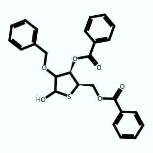 O=C(OC[C@H]1SC(O)C(OCc2ccccc2)[C@H]1OC(=O)c1ccccc1)c1ccccc1